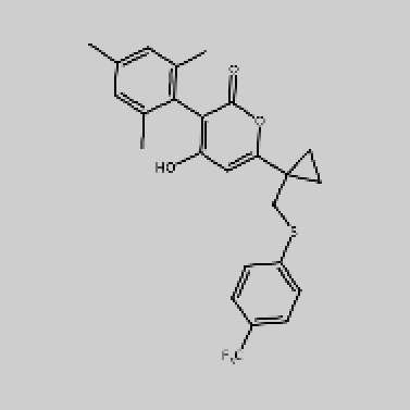 Cc1cc(C)c(-c2c(O)cc(C3(CSc4ccc(C(F)(F)F)cc4)CC3)oc2=O)c(C)c1